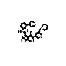 Fc1c(-c2cncc(CN3CCCCC3)c2)ncc2[nH]nc(-c3nc4c(-c5ccncc5)cccc4[nH]3)c12